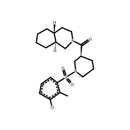 Cc1c(Cl)cccc1S(=O)(=O)N1CCC[C@H](C(=O)N2CC[C@H]3CCCC[C@@H]3C2)C1